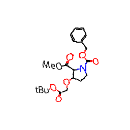 COC(=O)C1C(OCC(=O)OC(C)(C)C)CCN1C(=O)OCc1ccccc1